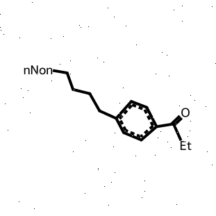 CCCCCCCCCCCCCc1ccc(C(=O)CC)cc1